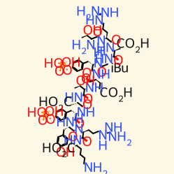 CC[C@H](C)[C@H](NC(=O)[C@H](CC(=O)O)NC(=O)[C@H](CCCNC(=N)N)NC(=O)[C@@H](N)[C@@H](C)O)C(=O)N[C@@H](Cc1ccc(OP(=O)(O)O)cc1)C(=O)N[C@@H](CCC(=O)O)C(=O)N[C@H](C(=O)N[C@@H](CC(=O)O)C(=O)N[C@@H](Cc1ccc(OP(=O)(O)O)cc1)C(=O)N[C@@H](Cc1ccc(O)cc1)C(=O)N[C@@H](CCCNC(=N)N)C(=O)N[C@@H](CCCCN)C(=O)O)[C@@H](C)O